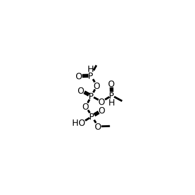 COP(=O)(O)OP(=O)(O[PH](C)=O)O[PH](C)=O